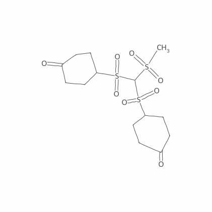 CS(=O)(=O)C(S(=O)(=O)C1CCC(=O)CC1)S(=O)(=O)C1CCC(=O)CC1